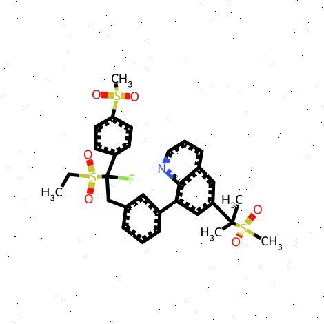 CCS(=O)(=O)C(F)(Cc1cccc(-c2cc(C(C)(C)S(C)(=O)=O)cc3cccnc23)c1)c1ccc(S(C)(=O)=O)cc1